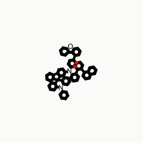 c1ccc(N2c3ccccc3C3(c4ccccc4-c4ccc(N(c5ccc(-c6cccc7oc8ccccc8c67)cc5)c5ccccc5-c5ccccc5-c5cccc6ccccc56)cc43)c3ccccc32)cc1